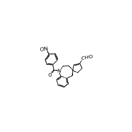 O=CC1=CC2(CC1)CCN(C(=O)c1ccc(N=O)cc1)c1ccccc1C2